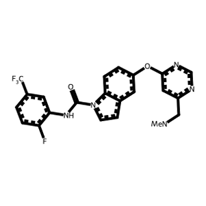 CNCc1cc(Oc2ccc3c(ccn3C(=O)Nc3cc(C(F)(F)F)ccc3F)c2)ncn1